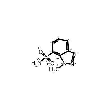 Cn1nnc2cccc(S(N)(=O)=O)c21